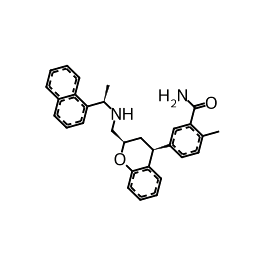 Cc1ccc([C@@H]2C[C@H](CN[C@H](C)c3cccc4ccccc34)Oc3ccccc32)cc1C(N)=O